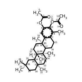 CC(=O)Oc1cc2c(c(C)c1OC(C)=O)CCC1[C@@]2(C)CC[C@@]2(C)[C@@H]3C[C@](C)(N)CC[C@]3(C)CC[C@]12C